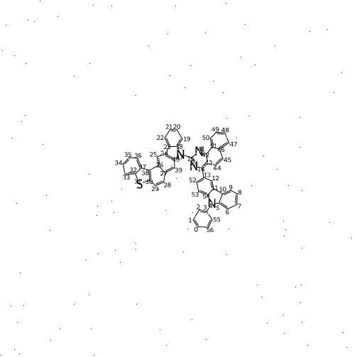 c1ccc(-n2c3ccccc3c3cc(-c4nc(-n5c6ccccc6c6cc7c(ccc8sc9ccccc9c87)cc65)nc5c4ccc4ccccc45)ccc32)cc1